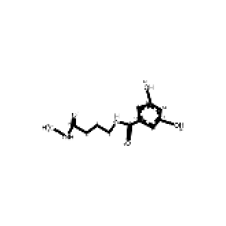 CNC(=O)CCCNC(=O)c1cc(O)cc(O)c1